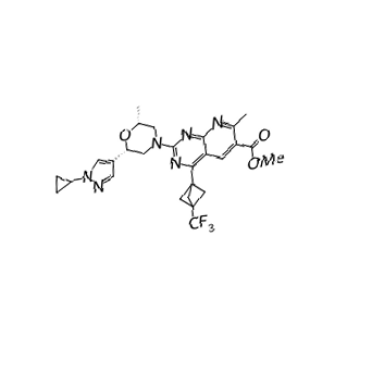 COC(=O)c1cc2c(C34CC(C(F)(F)F)(C3)C4)nc(N3C[C@@H](C)O[C@@H](c4cnn(C5CC5)c4)C3)nc2nc1C